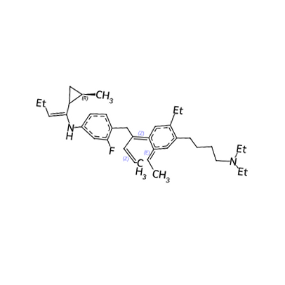 C\C=C/C(Cc1ccc(NC(=CCC)C2C[C@H]2C)cc1F)=c1/cc(CC)c(CCCCN(CC)CC)c/c1=C\C